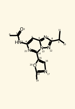 CC(=O)Nc1cc2nc(C(C)C)nn2c(-c2cnc(C)o2)n1